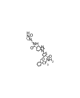 NC(=O)c1sc(-n2cnc3cc(C(=O)NCCN4CCNC4=O)ccc32)cc1OCc1ccccc1C(F)(F)F